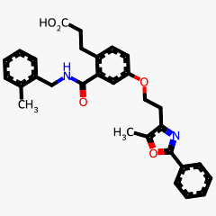 Cc1ccccc1CNC(=O)c1cc(OCCc2nc(-c3ccccc3)oc2C)ccc1CCC(=O)O